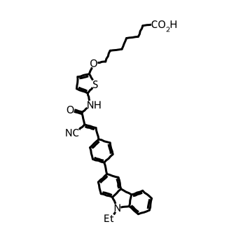 CCn1c2ccccc2c2cc(-c3ccc(/C=C(\C#N)C(=O)Nc4ccc(OCCCCCCC(=O)O)s4)cc3)ccc21